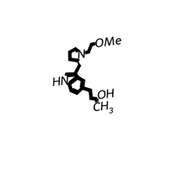 COCCN1CCC[C@@H]1Cc1c[nH]c2ccc(CCC(C)O)cc12